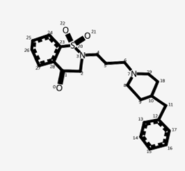 O=C1CN(CCCN2CCC(Cc3ccccc3)CC2)S(=O)(=O)c2ccccc21